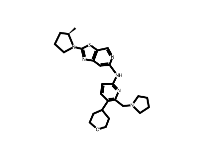 C[C@@H]1CCCN1c1nc2cc(Nc3ccc(C4CCOCC4)c(CN4CCCC4)n3)ncc2s1